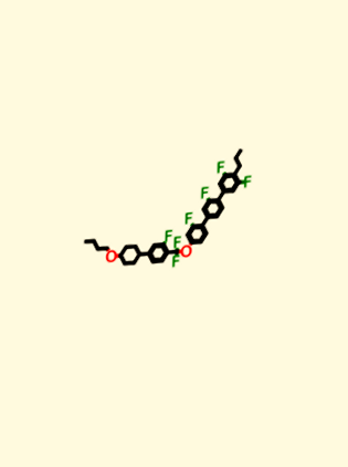 CCCCOC1CCC(c2ccc(C(F)(F)Oc3ccc(-c4ccc(-c5cc(F)c(CCC)c(F)c5)c(F)c4)c(F)c3)c(F)c2)CC1